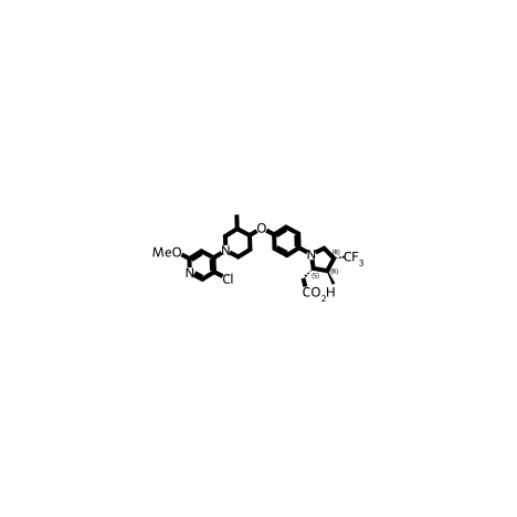 COc1cc(N2CCC(Oc3ccc(N4C[C@H](C(F)(F)F)[C@@H](C)[C@@H]4CC(=O)O)cc3)C(C)C2)c(Cl)cn1